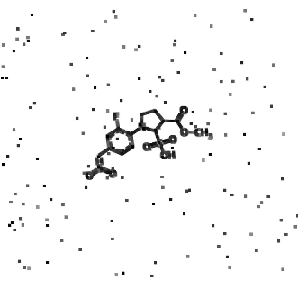 COC(=O)C1CCN(c2ccc(C[SH](=O)=O)cc2F)C1S(=O)(=O)O